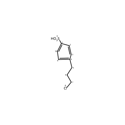 O=S(=O)(O)c1ccc(CCCCl)cc1